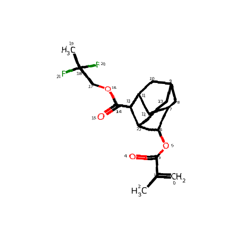 C=C(C)C(=O)OC1C2CC3CC(C2)C(C(=O)OCC(C)(F)F)C1C3